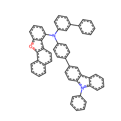 c1ccc(-c2cccc(N(c3ccc(-c4ccc5c(c4)c4ccccc4n5-c4ccccc4)cc3)c3cccc4oc5c6ccccc6ccc5c34)c2)cc1